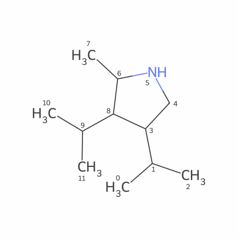 CC(C)C1CNC(C)C1C(C)C